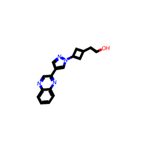 OCCC1CC(n2cc(-c3cnc4ccccc4n3)cn2)C1